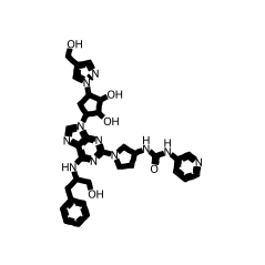 O=C(Nc1cccnc1)NC1CCN(c2nc(NC(CO)Cc3ccccc3)c3ncn(C4CC(n5cc(CO)cn5)C(O)C4O)c3n2)C1